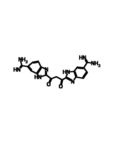 N=C(N)c1ccc2nc(C(=O)CC(=O)c3nc4ccc(C(=N)N)cc4[nH]3)[nH]c2c1